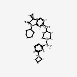 O=C1N(C2CCCCC2)c2nc(NC3CCN([S+]([O-])c4cccc(N5CCC5)n4)CC3)ncc2C12CC2